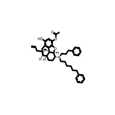 C=CCN1CC[C@]23c4c5c(O)cc(OC(C)=O)c4O[C@H]2[C@H](N(CCCCCCc2ccccc2)CCCc2ccccc2)CC[C@H]3[C@H]1C5